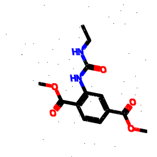 CCNC(=O)Nc1cc(C(=O)OC)ccc1C(=O)OC